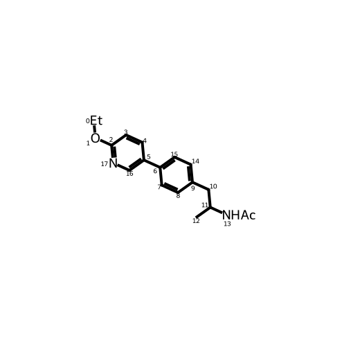 CCOc1ccc(-c2ccc(CC(C)NC(C)=O)cc2)cn1